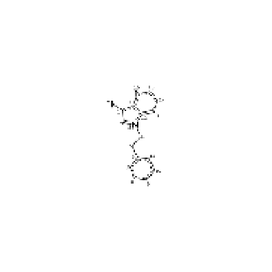 Ic1cn(CCc2ccccc2)c2cccnc12